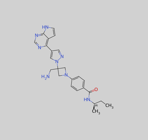 CC[C@@H](C)NC(=O)c1ccc(N2CC(CN)(n3cc(-c4ncnc5[nH]ccc45)cn3)C2)cc1